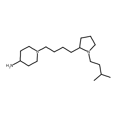 CC(C)CCN1CCCC1CCCCN1CCC(N)CC1